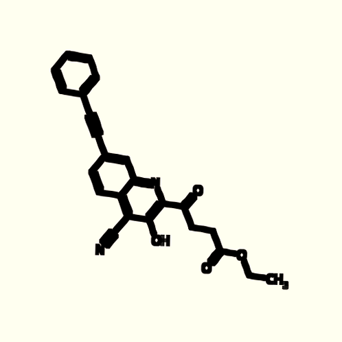 CCOC(=O)CCC(=O)c1nc2cc(C#Cc3ccccc3)ccc2c(C#N)c1O